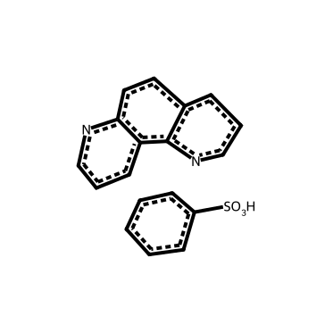 O=S(=O)(O)c1ccccc1.c1cnc2c(c1)ccc1ncccc12